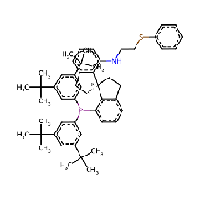 CC(C)(C)c1cc(P(c2cc(C(C)(C)C)cc(C(C)(C)C)c2)c2cccc3c2[C@]2(CCc4cccc(NCCSc5ccccc5)c42)CC3)cc(C(C)(C)C)c1